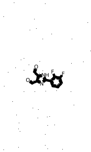 O=Cc1nc(-c2cccc(F)c2F)[nH]c1C=O